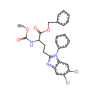 CC(C)(C)OC(=O)NC(CCc1nc2cc(Cl)c(Cl)cc2n1-c1ccccc1)C(=O)OCc1ccccc1